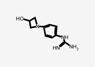 N=C(N)Nc1ccc(N2CC(O)C2)cc1